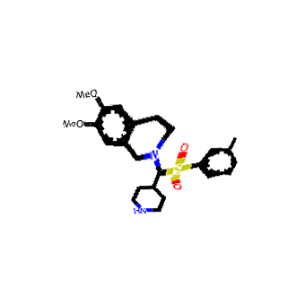 COc1cc2c(cc1OC)CN(C(C1CCNCC1)S(=O)(=O)c1cccc(C)c1)CC2